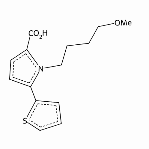 COCCCCn1c(C(=O)O)ccc1-c1cccs1